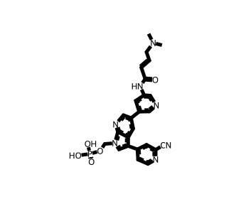 CN(C)CC=CC(=O)Nc1cncc(-c2cnc3c(c2)c(-c2ccnc(C#N)c2)cn3COP(=O)(O)O)c1